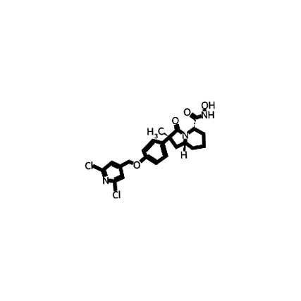 C[C@@]1(c2ccc(OCc3cc(Cl)nc(Cl)c3)cc2)C[C@H]2CCC[C@@H](C(=O)NO)N2C1=O